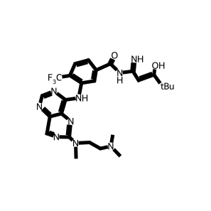 CN(C)CCN(C)c1ncc2ncnc(Nc3cc(C(=O)NC(=N)/C=C(\O)C(C)(C)C)ccc3C(F)(F)F)c2n1